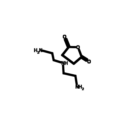 NCCNCCN.O=C1CCC(=O)O1